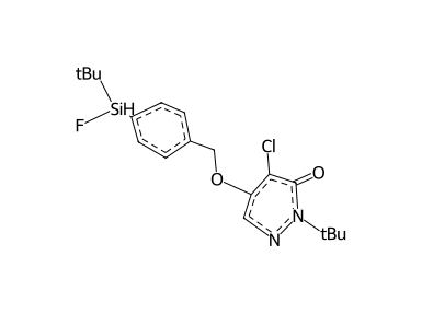 CC(C)(C)n1ncc(OCc2ccc([SiH](F)C(C)(C)C)cc2)c(Cl)c1=O